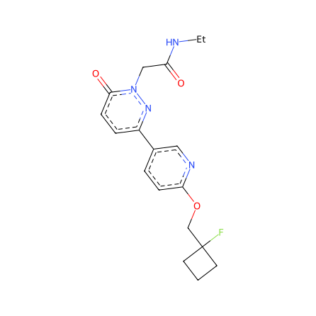 CCNC(=O)Cn1nc(-c2ccc(OCC3(F)CCC3)nc2)ccc1=O